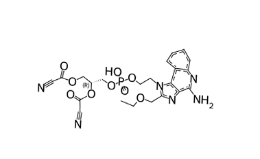 CCOCc1nc2c(N)nc3ccccc3c2n1CCOP(=O)(O)OC[C@@H](COC(=O)C#N)OC(=O)C#N